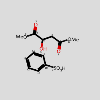 COC(=O)CC(O)C(=O)OC.O=S(=O)(O)c1ccccc1